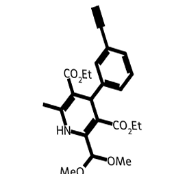 C#Cc1cccc(C2C(C(=O)OCC)=C(C)NC(C(OC)OC)=C2C(=O)OCC)c1